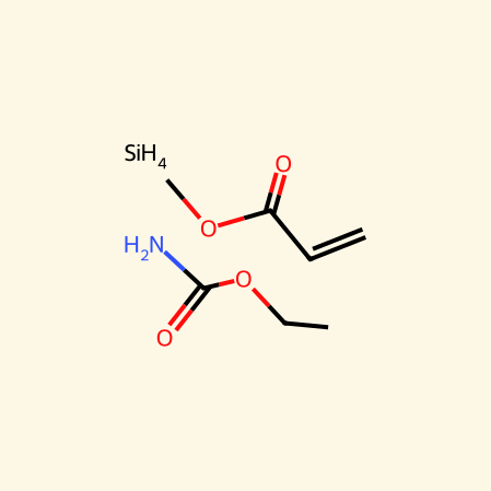 C=CC(=O)OC.CCOC(N)=O.[SiH4]